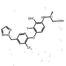 COC[C@H](C)Nc1ccc(Oc2ncc(Cn3nccn3)cc2C(F)(F)F)c(F)c1C=O